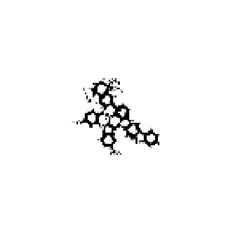 CC(C)(C)c1ccc(N2B3c4oc5ccc(C(C)(C)C)cc5c4-n4c5cc6oc7ccccc7c6cc5c5ccc(c3c54)-c3cc4c(cc32)C(C)(C)CCC4(C)C)cc1